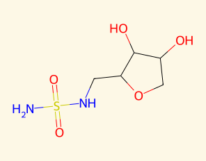 NS(=O)(=O)NCC1OCC(O)C1O